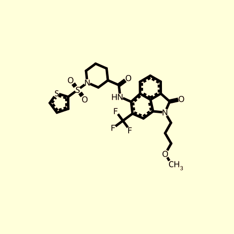 COCCCN1C(=O)c2cccc3c(NC(=O)C4CCCN(S(=O)(=O)c5cccs5)C4)c(C(F)(F)F)cc1c23